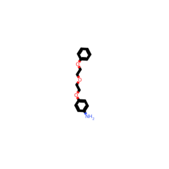 Nc1ccc(OCCOCCOc2ccccc2)cc1